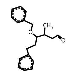 CC(CC=O)C(CCc1ccccc1)OCc1ccccc1